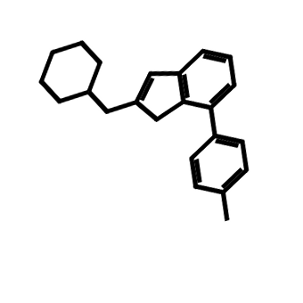 Cc1ccc(-c2cccc3c2CC(CC2CCCCC2)=C3)cc1